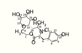 CCOC(=O)[C@H](Cc1ccc(O)cc1)N(Cl)C(C)C[C@@H]1OC[C@@H](O)C(O)[C@H]1O